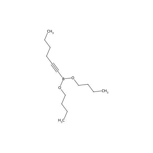 CCCCC#CB(OCCCC)OCCCC